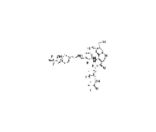 CCOc1cc2ncc(C(N)=O)c(Nc3cccc(CNCCN4CCOCC4)c3CC)c2cc1OCC.O=C(O)C(F)(F)F.O=C(O)C(F)(F)F.O=C(O)C(F)(F)F